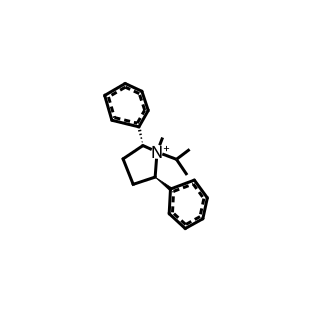 CC(C)[N+]1(C)[C@@H](c2ccccc2)CC[C@@H]1c1ccccc1